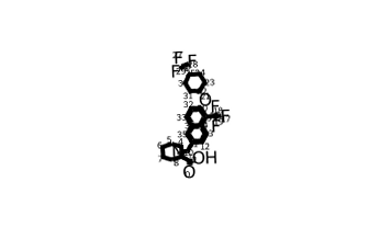 O=C(O)C1CC2CCC1N2Cc1ccc2c(C(F)(F)F)c(O[C@H]3CC[C@@H](C(F)(F)F)CC3)ccc2c1